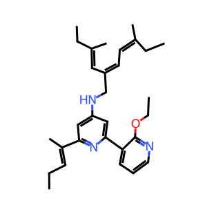 CCC=C(C)c1cc(NCC(/C=C(\C)CC)=C/C=C(/C)CC)cc(-c2cccnc2OCC)n1